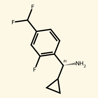 N[C@@H](c1ccc(C(F)F)cc1F)C1CC1